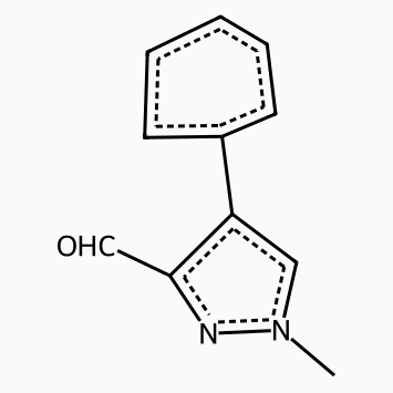 Cn1cc(-c2ccccc2)c(C=O)n1